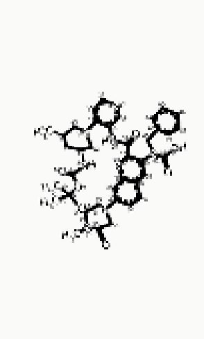 C[C@@H]1C[C@H](NC(=O)OC(C)(C)C)CN(c2ccncc2NC(=O)c2nc3cc(N4CCN(C)C(=O)C4)ccc3cc2N(Cc2ccccc2)C(=O)O)C1